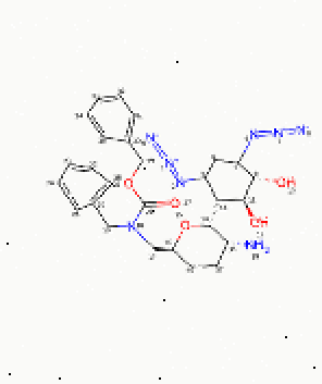 [N-]=[N+]=NC1CC(N=[N+]=[N-])[C@H](O)[C@@H](O)C1[C@H]1O[C@H](CN(Cc2ccccc2)C(=O)OCc2ccccc2)CC[C@H]1N